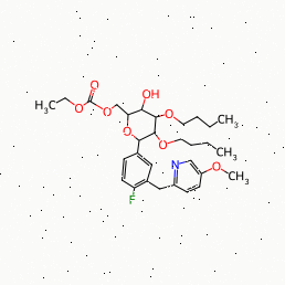 CCCCOC1C(c2ccc(F)c(Cc3ccc(OC)cn3)c2)OC(COC(=O)OCC)C(O)C1OCCCC